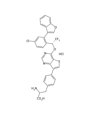 Cl.NC(Cc1ccc(-c2csc3c(O[C@H](c4ccc(Cl)cc4-c4coc5ccccc45)C(F)(F)F)ncnc23)cc1)C(=O)O